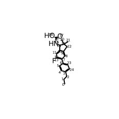 CCCc1ccc(-c2cc3c(cc2F)C(NC(=O)O)C(C)(C)C3)cc1